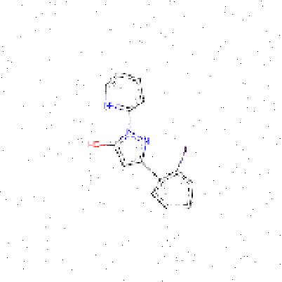 Oc1cc(-c2ccccc2I)nn1-c1ccccn1